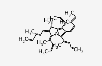 C=C/C=C(\C)c1c(/C=C\C(C)=C\C)c(/C=C\C)c2c(=C)c(=C/C=C(\C)C=C)/c(=C(C)/C=C\C)n12